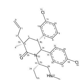 C=CC[C@@]1(C)C[C@H](c2cccc(Cl)c2)C(c2ccc(Cl)cc2)N([C@@H](CC)CNC)C1=O